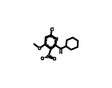 COc1cc(Cl)nc(NC2CCCCC2)c1[N+](=O)[O-]